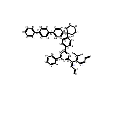 C=C/C=C\C(=C(C)C)/C(=C\C=C)c1nc(-c2ccccc2)nc(-c2ccc(C3(c4ccc(-c5ccc(-c6ccccc6)cc5)cc4)CCCCC3)cc2)n1